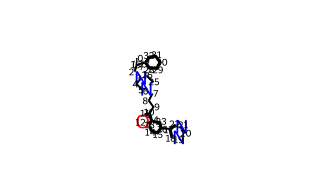 C[C@H](CN1CCN(CCCc2coc3ccc(-c4cncnc4)cc23)CC1)c1ccccc1